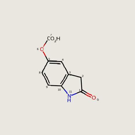 O=C1Cc2cc(OC(=O)O)ccc2N1